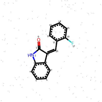 O=C1Nc2ccccc2C1=Cc1ccccc1F